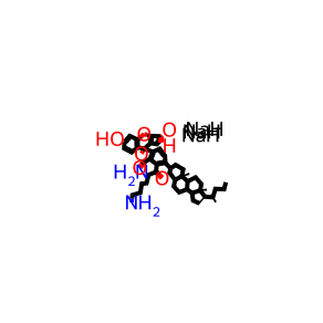 CCC[C@@H](C)[C@H]1CCC2C3CCC4CC(c5ccc6c(c5C(=O)[C@@H](N)CCCCN)C(=O)OC65c6ccc(O)cc6Oc6cc(O)ccc65)CC[C@]4(C)C3CC[C@@]21C.[NaH].[NaH].[NaH]